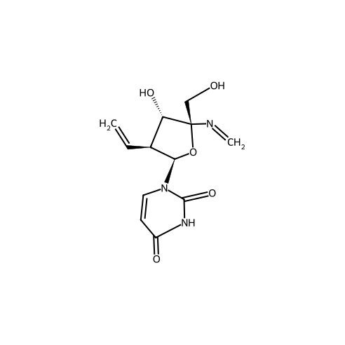 C=C[C@@H]1[C@H](n2ccc(=O)[nH]c2=O)O[C@@](CO)(N=C)[C@H]1O